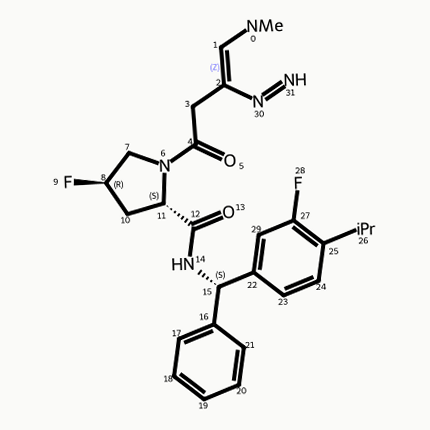 CN/C=C(/CC(=O)N1C[C@H](F)C[C@H]1C(=O)N[C@@H](c1ccccc1)c1ccc(C(C)C)c(F)c1)N=N